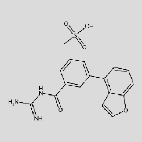 CS(=O)(=O)O.N=C(N)NC(=O)c1cccc(-c2cccc3occc23)c1